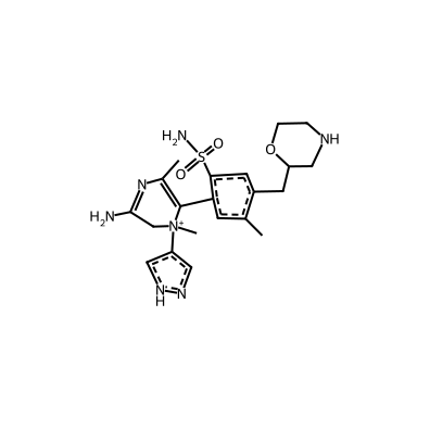 CC1=C(c2cc(C)c(CC3CNCCO3)cc2S(N)(=O)=O)[N+](C)(c2cn[nH]c2)CC(N)=N1